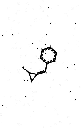 CC1CC1=Cc1ccccc1